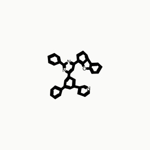 c1ccc(-c2cc(-c3cccnc3)cc(-c3cc(-c4cccc5c4oc4ccccc45)nc(-c4ccccc4)n3)c2)cc1